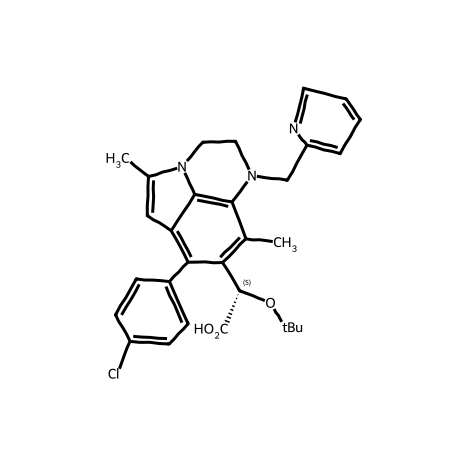 Cc1c([C@H](OC(C)(C)C)C(=O)O)c(-c2ccc(Cl)cc2)c2cc(C)n3c2c1N(Cc1ccccn1)CC3